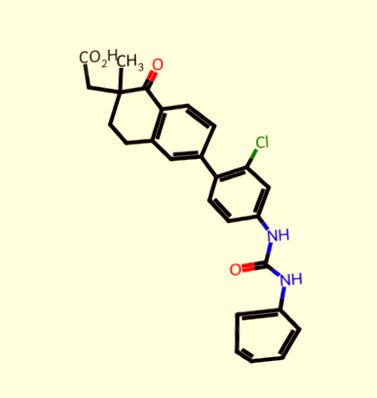 CC1(CC(=O)O)CCc2cc(-c3ccc(NC(=O)Nc4ccccc4)cc3Cl)ccc2C1=O